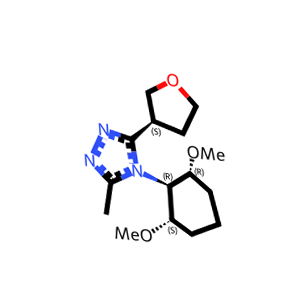 CO[C@H]1CCC[C@@H](OC)[C@@H]1n1c(C)nnc1[C@@H]1CCOC1